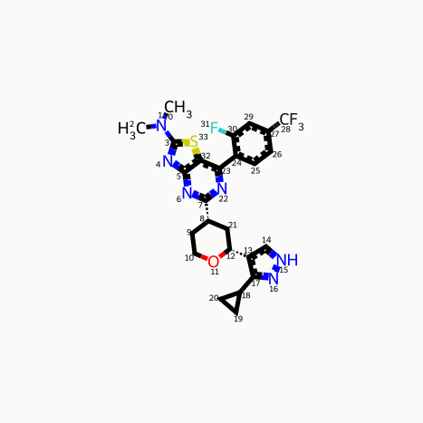 CN(C)c1nc2nc([C@H]3CCO[C@@H](c4c[nH]nc4C4CC4)C3)nc(-c3ccc(C(F)(F)F)cc3F)c2s1